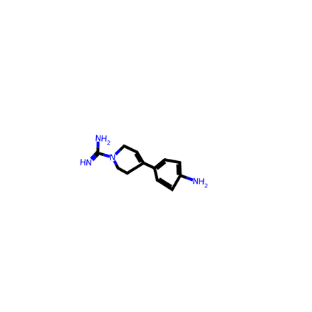 N=C(N)N1CC=C(c2ccc(N)cc2)CC1